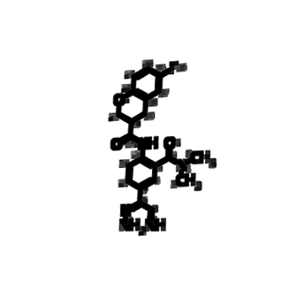 CN(C)C(=O)c1cc(/C(C=N)=N/N)ccc1NC(=O)C1COc2ccc(F)cc2C1